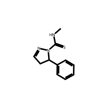 CNC(=S)N1N=CCC1c1ccccc1